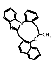 CC1Cc2ccccc2-n2c(nc3ccccc32)Cc2ccc3ccccc3c2C1